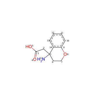 NC1(CC(=O)O)CCOc2ccccc21